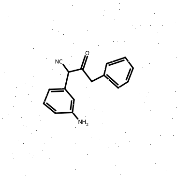 N#CC(C(=O)Cc1ccccc1)c1cccc(N)c1